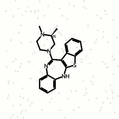 C[C@H]1CN(C2=Nc3ccccc3Nc3sc4ccccc4c32)CCN1C